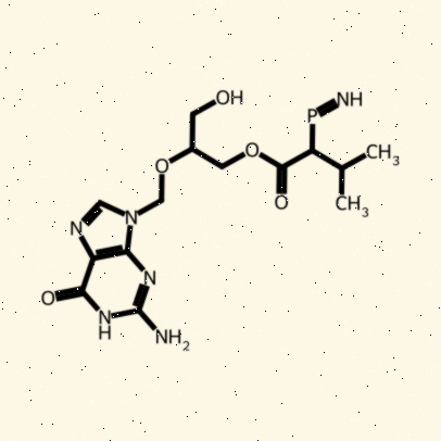 CC(C)C(P=N)C(=O)OCC(CO)OCn1cnc2c(=O)[nH]c(N)nc21